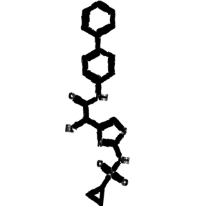 CCC(C(=O)Nc1ccc(-c2ccccc2)cc1)c1csc(NS(=O)(=O)C2CC2)n1